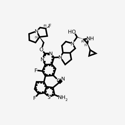 N#Cc1c(N)sc2c(F)ccc(-c3c(Cl)cc4c(N5CCC6CN(C(O)[C@@H]7N[C@H]7C7CC7)CCC65)nc(OC[C@@]56CCCN5C[C@H](F)C6)nc4c3F)c12